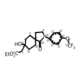 CCOC(=O)CC1(O)CCC2(CCN(c3ccc(OC(F)(F)F)cc3)C2=O)CC1